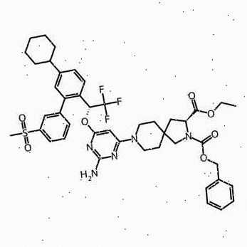 CCOC(=O)[C@@H]1CC2(CCN(c3cc(O[C@H](c4ccc(C5CCCCC5)cc4-c4cccc(S(C)(=O)=O)c4)C(F)(F)F)nc(N)n3)CC2)CN1C(=O)OCc1ccccc1